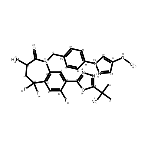 CC(C)(C#N)c1nnc(-c2cc3c(cc2F)C(F)(F)CC(N)C(=O)N3Cc2ccc(-n3cc(OC(F)(F)F)cn3)cc2)o1